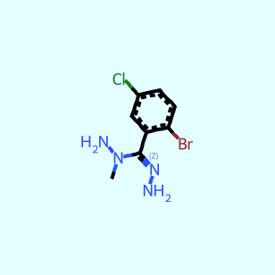 CN(N)/C(=N\N)c1cc(Cl)ccc1Br